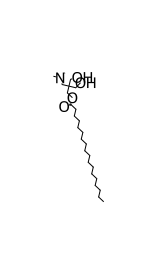 CCCCCCCCCCCCCCCCCC(=O)OCC(CO)(CO)CN(C)C